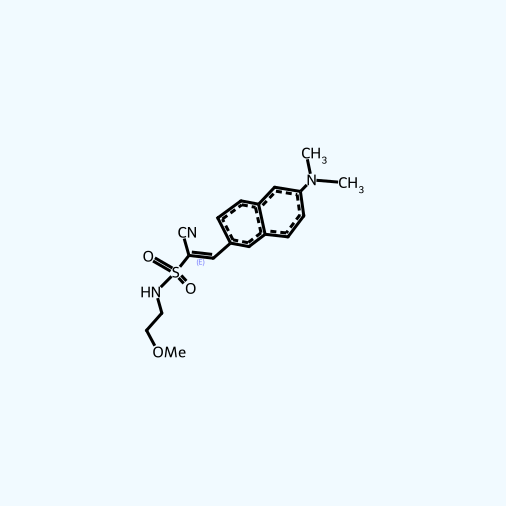 COCCNS(=O)(=O)/C(C#N)=C/c1ccc2cc(N(C)C)ccc2c1